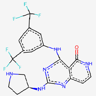 O=c1[nH]ccc2nc(N[C@H]3CCNC3)nc(Nc3cc(C(F)(F)F)cc(C(F)(F)F)c3)c12